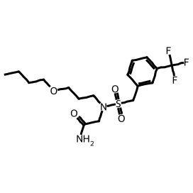 CCCCOCCCN(CC(N)=O)S(=O)(=O)Cc1cccc(C(F)(F)F)c1